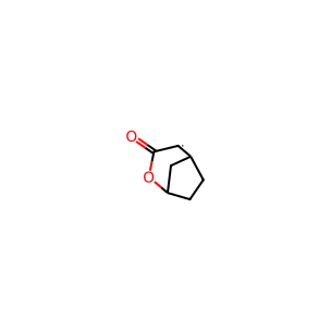 O=C1[CH]C2CCC(C2)O1